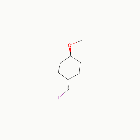 CO[C@H]1CC[C@H](CI)CC1